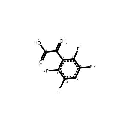 C=C(C(=O)O)c1c(F)c(F)cc(F)c1F